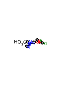 CC1(c2ccc(Cl)cc2F)Oc2cccc(C3CCN(Cc4nc5ccc(C(=O)O)cc5n4Cc4ccccn4)CC3)c2O1